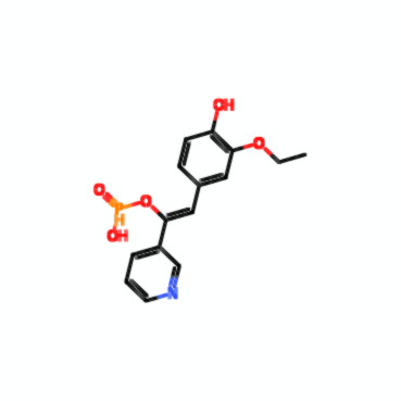 CCOc1cc(C=C(O[PH](=O)O)c2cccnc2)ccc1O